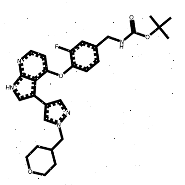 CC(C)(C)OC(=O)NCc1ccc(Oc2ccnc3[nH]cc(-c4cnn(CC5CCOCC5)c4)c23)c(F)c1